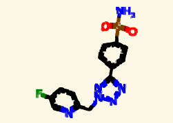 NS(=O)(=O)c1ccc(-c2nnn(Cc3ccc(F)cn3)n2)cc1